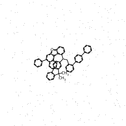 CC1(C)c2ccccc2-c2ccc(C(Cc3ccccc3-c3ccc(-c4ccccc4)cc3)c3cccc4oc5cc(-c6ccccc6)c6ccccc6c5c34)cc21